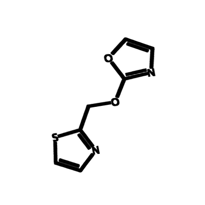 c1coc(OCc2nccs2)n1